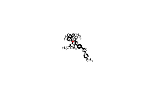 COC1(OC)CO[C@H]2[C@@H]1N(C(=O)[C@H](CC(C)C)N[C@@H](c1ccc(-c3csc(N4CCN(C)CC4)n3)cc1)C(F)(F)F)C[C@@H]2F